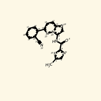 Cc1cnc(C(=O)Nc2cnc3ccc(-c4ccccc4C#N)nn23)s1